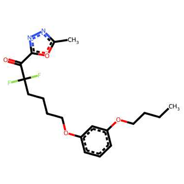 CCCCOc1cccc(OCCCCC(F)(F)C(=O)c2nnc(C)o2)c1